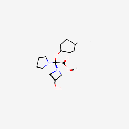 CCOC(=O)C1CCC(OC(C(=O)OC(C)(C)C)(N2CCCC2)N2CC(O)C2)CC1